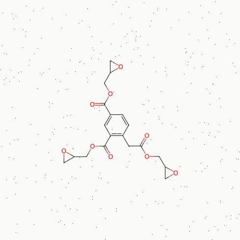 O=C(Cc1ccc(C(=O)OCC2CO2)cc1C(=O)OCC1CO1)OCC1CO1